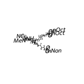 CCCCCCCCCOC(=O)CCCCCCCN(CCCCCCCC(=O)OC(CCCCCCCC)CCCCCCCC)CCCN/C(=C/C#N)NC